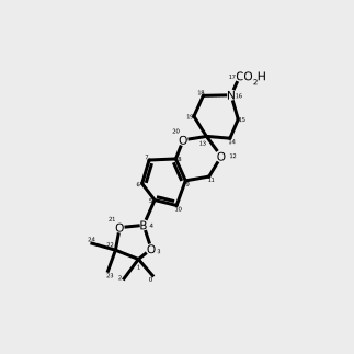 CC1(C)OB(c2ccc3c(c2)COC2(CCN(C(=O)O)CC2)O3)OC1(C)C